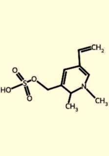 C=CC1=CN(C)C(C)C(COS(=O)(=O)O)=C1